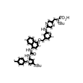 Cc1ccc(-n2nc(C(C)(C)C)cc2NC(=O)Nc2ccc(OCc3ccnc(Nc4cnc(CN(C(=O)O)C(C)(C)C)cn4)c3)c3ccccc23)cc1